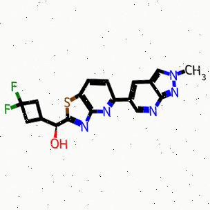 Cn1cc2cc(-c3ccc4sc([C@@H](O)C5CC(F)(F)C5)nc4n3)cnc2n1